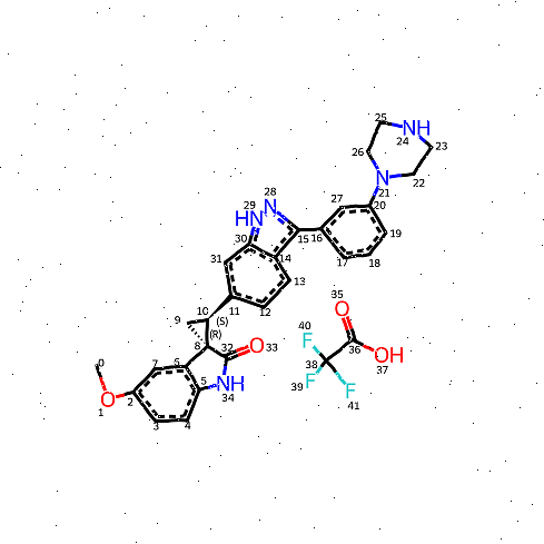 COc1ccc2c(c1)[C@]1(C[C@H]1c1ccc3c(-c4cccc(N5CCNCC5)c4)n[nH]c3c1)C(=O)N2.O=C(O)C(F)(F)F